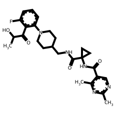 Cc1ncc(C(=O)NC2(C(=O)NCC3CCN(c4cccc(F)c4C(=O)C(C)O)CC3)CC2)c(C)n1